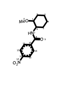 COC1CCCCC1NC(=O)c1ccc([N+](=O)[O-])cc1